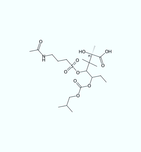 CCC(OC(=O)OCC(C)C)C(OS(=O)(=O)CCCNC(C)=O)C(C)(C)[C@@](C)(O)C(=O)O